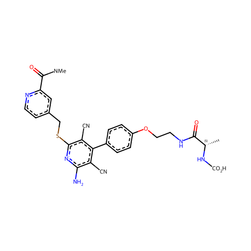 CNC(=O)c1cc(CSc2nc(N)c(C#N)c(-c3ccc(OCCNC(=O)[C@H](C)NC(=O)O)cc3)c2C#N)ccn1